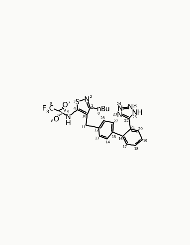 CCCCc1nsc(NS(=O)(=O)C(F)(F)F)c1Cc1ccc(-c2ccccc2-c2nnn[nH]2)cc1